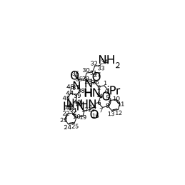 CC(C)CC(NC(=O)C(Cc1ccccc1)NC(=O)C(N)Cc1ccccc1)C(=O)NC(CCCCN)C(=O)N1CC2CN(C)CC2C1